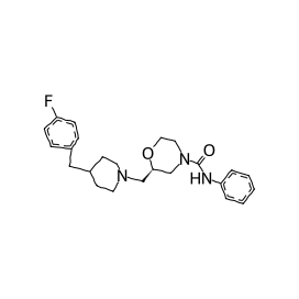 O=C(Nc1ccccc1)N1CCO[C@H](CN2CCC(Cc3ccc(F)cc3)CC2)C1